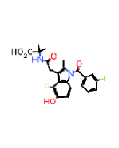 Cc1c(CC(=O)NC(C)(C)C(=O)O)c2c(F)c(O)ccc2n1C(=O)c1cccc(F)c1